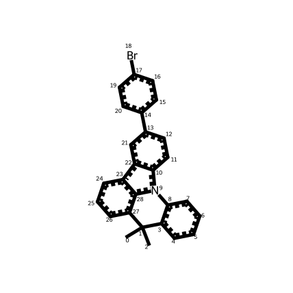 CC1(C)c2ccccc2-n2c3ccc(-c4ccc(Br)cc4)cc3c3cccc1c32